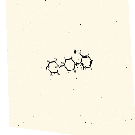 CC(C)c1cccnc1N1CCC(N2CCOCC2)CC1